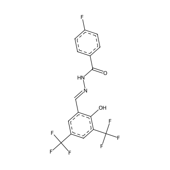 O=C(N/N=C/c1cc(C(F)(F)F)cc(C(F)(F)F)c1O)c1ccc(F)cc1